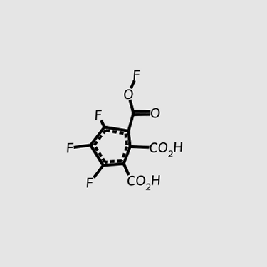 O=C(O)c1c(F)c(F)c(F)c(C(=O)OF)c1C(=O)O